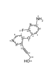 Nc1ccc(Oc2ccncc2C#CCO)c(F)c1